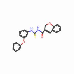 O=C(NC(=S)Nc1cccc(Oc2ccccc2)c1)C1=Cc2ccccc2OC1